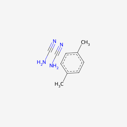 Cc1ccc(C)cc1.N#CN.N#CN